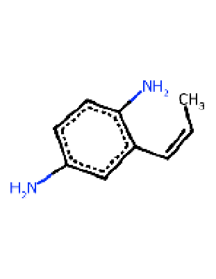 C/C=C\c1cc(N)ccc1N